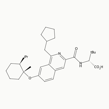 CC(C)[C@@H]1CCCC[C@@]1(C)Oc1ccc2cc(C(=O)N[C@@H](C(=O)O)C(C)(C)C)nc(CC3CCCC3)c2c1